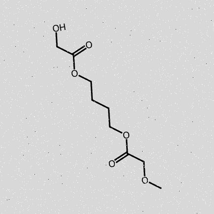 COCC(=O)OCCCCOC(=O)CO